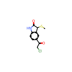 CSC1C(=O)Nc2ccc(C(=O)CCl)cc21